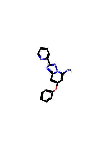 Nc1cc(Oc2ccccc2)cc2nc(-c3ccccn3)nn12